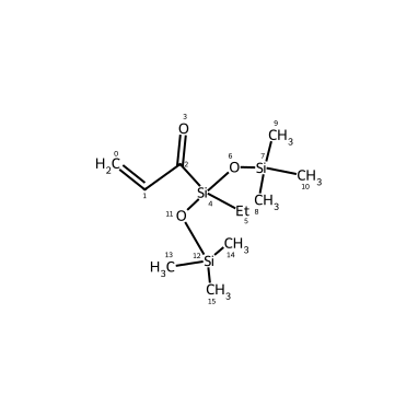 C=CC(=O)[Si](CC)(O[Si](C)(C)C)O[Si](C)(C)C